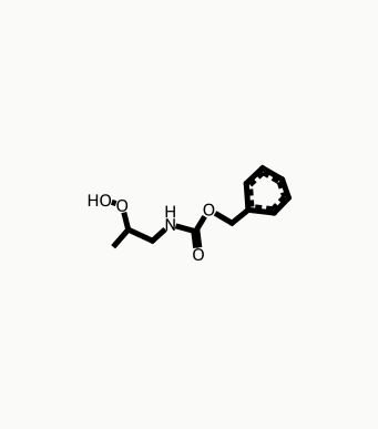 CC(CNC(=O)OCc1ccccc1)OO